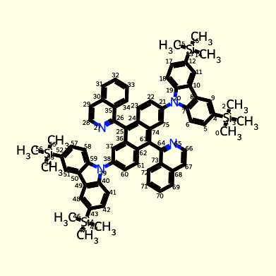 C[Si](C)(C)c1ccc2c(c1)c1cc([Si](C)(C)C)ccc1n2-c1ccc2c(-c3nccc4ccccc34)c3cc(-n4c5ccc([Si](C)(C)C)cc5c5cc([Si](C)(C)C)ccc54)ccc3c(-c3nccc4ccccc34)c2c1